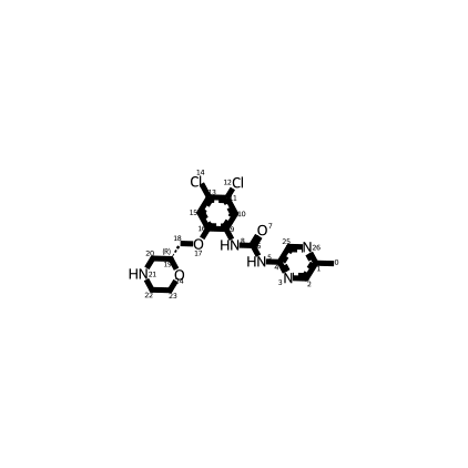 Cc1cnc(NC(=O)Nc2cc(Cl)c(Cl)cc2OC[C@H]2CNCCO2)cn1